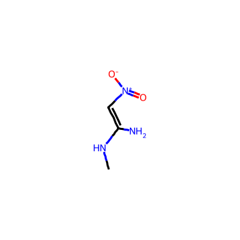 CNC(N)=C[N+](=O)[O-]